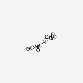 COc1ccc(N2CC(CCN3CCC(O)(c4ccc5c(c4)OCO5)CC3)OC2=O)cc1